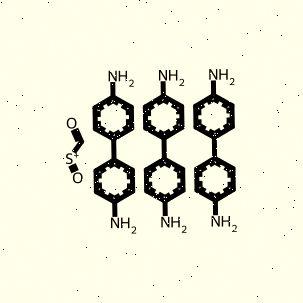 Nc1ccc(-c2ccc(N)cc2)cc1.Nc1ccc(-c2ccc(N)cc2)cc1.Nc1ccc(-c2ccc(N)cc2)cc1.O=C[S+]=O